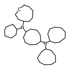 C1CCCCC(N(C2CCCCCCCC2)C2CCCCC(N(C3CCCCCCCC3)C3CCCCCC3)CCC2)CCC1